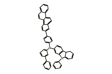 C1=CCC2C(=C1)N(c1ccccc1)c1cc(N(c3ccc(-c4ccc5c(ccc6c7ccccc7ccc56)c4)cc3)c3cccc(-c4ccccc4)c3)ccc12